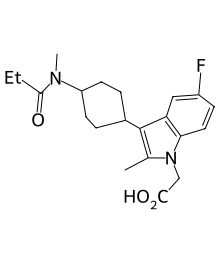 CCC(=O)N(C)C1CCC(c2c(C)n(CC(=O)O)c3ccc(F)cc23)CC1